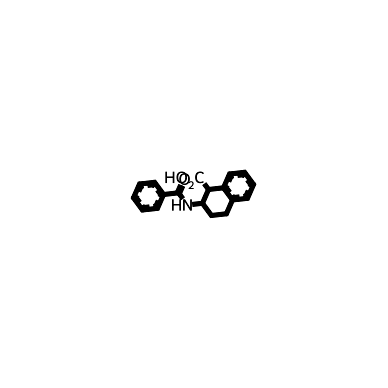 O=C(NC1CCc2ccccc2C1C(=O)O)c1ccccc1